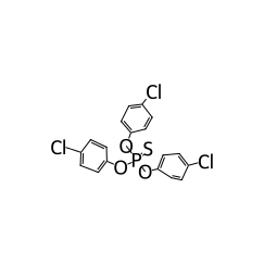 S=P(Oc1ccc(Cl)cc1)(Oc1ccc(Cl)cc1)Oc1ccc(Cl)cc1